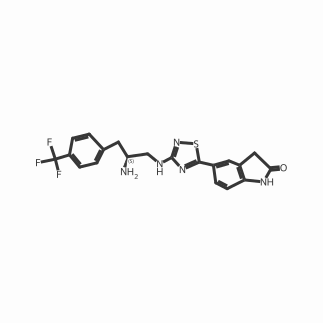 N[C@H](CNc1nsc(-c2ccc3c(c2)CC(=O)N3)n1)Cc1ccc(C(F)(F)F)cc1